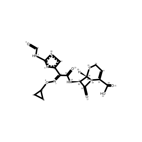 O=CNc1nc(C(=NOC2CC2)C(=O)N[C@@H]2C(=O)N3C(C(=O)O)=CCS[C@@H]23)cs1